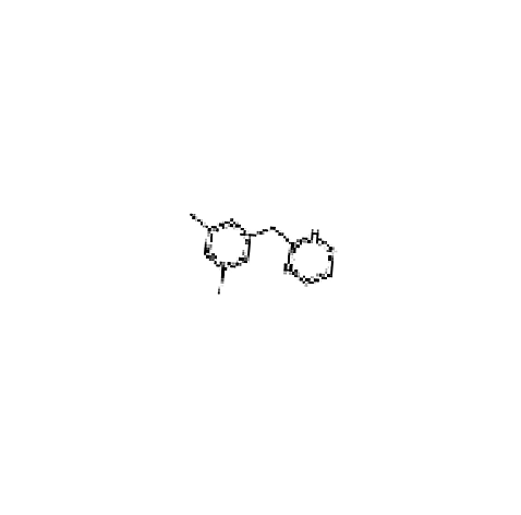 Cc1cc(C)cc(Cc2ncccn2)c1